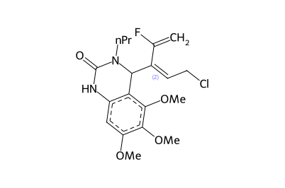 C=C(F)/C(=C\CCl)C1c2c(cc(OC)c(OC)c2OC)NC(=O)N1CCC